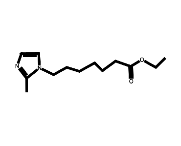 CCOC(=O)CCCCCCn1c[c]nc1C